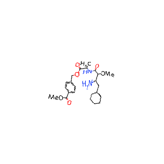 COC(=O)c1ccc(COC(=O)C(C)NC(=O)C(OC)C(N)CC2CCCCC2)cc1